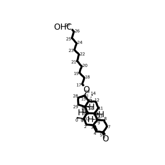 C[C@@H]1CC2=CC(=O)CC[C@@H]2[C@H]2CC[C@]3(C)[C@@H](OCCCCCCCCCCC=O)CC[C@H]3[C@@H]21